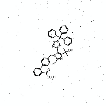 CCCc1nc(C(C)(C)O)c(-c2nnn(C(c3ccccc3)(c3ccccc3)c3ccccc3)n2)n1Cc1ccc(-c2ccccc2C(=O)C(=O)O)cc1